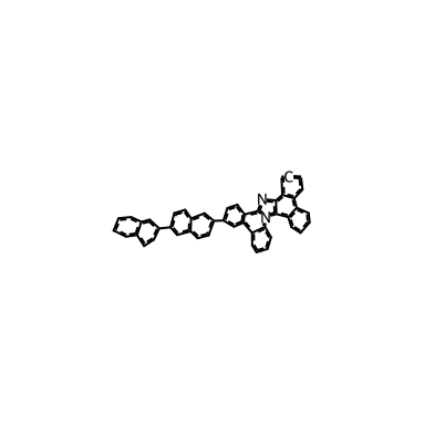 c1ccc2cc(-c3ccc4cc(-c5ccc6c(c5)c5ccccc5n5c6nc6c7ccccc7c7ccccc7c65)ccc4c3)ccc2c1